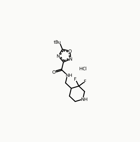 CC(C)(C)c1nc(C(=O)NCC2CCNCC2(F)F)no1.Cl